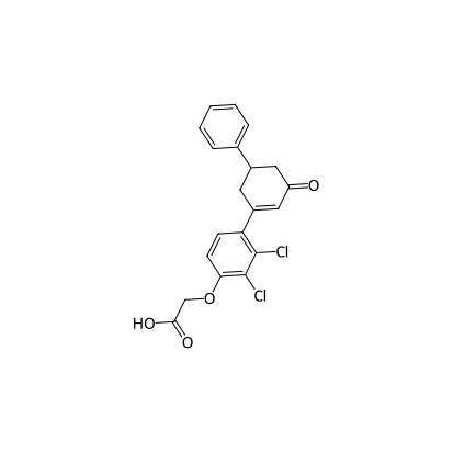 O=C(O)COc1ccc(C2=CC(=O)CC(c3ccccc3)C2)c(Cl)c1Cl